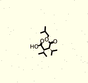 CC(C)COC(=O)[C@H](C(C)C)[C@@H](C(=O)O)C(C)C